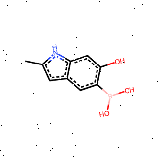 Cc1cc2cc(B(O)O)c(O)cc2[nH]1